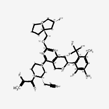 C=C(F)C(=O)N1CCN(c2nc(OC[C@@]34CCCN3C[C@H](F)C4)nc3c2CO[C@H](c2c(F)c(N)cc(C)c2C(F)(F)F)C3)C[C@@H]1CC#N